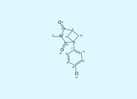 CN1C(=O)C2CC(c3ccc(Cl)cc3)(C2)C1=O